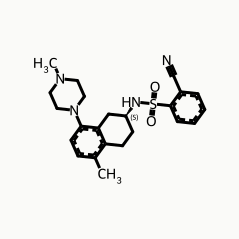 Cc1ccc(N2CCN(C)CC2)c2c1CC[C@H](NS(=O)(=O)c1ccccc1C#N)C2